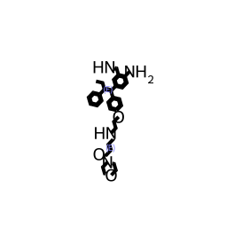 CC/C(=C(/c1ccc(OCCNC/C=C/C(=O)N2CCOCC2)cc1)c1ccc(N)c(C=N)c1)c1ccccc1